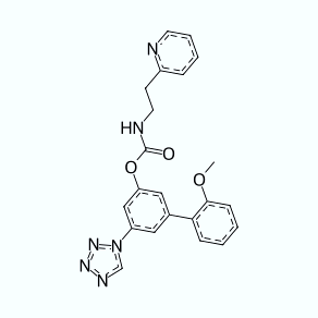 COc1ccccc1-c1cc(OC(=O)NCCc2ccccn2)cc(-n2cnnn2)c1